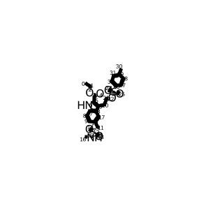 CCOC(=O)c1[nH]c2ccc(CS(=O)(=O)NC)cc2c1CCOS(=O)(=O)c1ccc(C)cc1